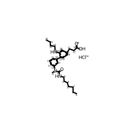 CCCCCCCNC(=O)N(C)c1cccc(-c2ccc(CCC(=O)O)cc2NCCCC)c1.Cl